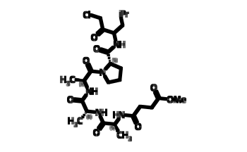 COC(=O)CCC(=O)N[C@@H](C)C(=O)N[C@H](C)C(=O)N[C@@H](C)C(=O)N1CCC[C@H]1C(=O)NC(CC(C)C)C(=O)CCl